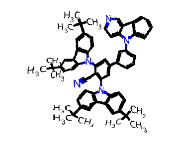 CC(C)(C)c1ccc2c(c1)c1cc(C(C)(C)C)ccc1n2-c1cc(-c2cccc(-n3c4ccccc4c4cnccc43)c2)cc(-n2c3ccc(C(C)(C)C)cc3c3cc(C(C)(C)C)ccc32)c1C#N